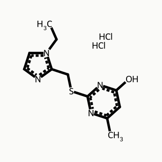 CCn1ccnc1CSc1nc(C)cc(O)n1.Cl.Cl